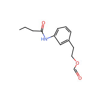 CCCC(=O)Nc1cccc(CCOC=O)c1